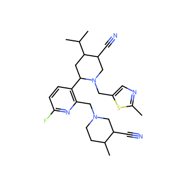 Cc1ncc(CN2CC(C#N)C(C(C)C)CC2c2ccc(F)nc2CN2CCC(C)C(C#N)C2)s1